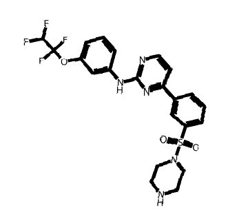 O=S(=O)(c1cccc(-c2ccnc(Nc3cccc(OC(F)(F)C(F)F)c3)n2)c1)N1CCNCC1